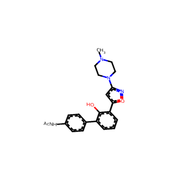 CC(=O)Nc1ccc(-c2cccc(-c3cc(N4CCN(C)CC4)no3)c2O)cc1